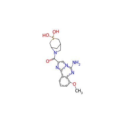 COc1cccc2c1nc(N)n1cc(C(=O)N3CC4CC3CS(O)(O)C4)nc21